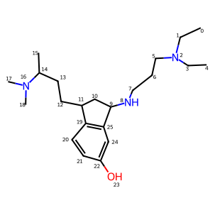 CCN(CC)CCCNC1CC(CCC(C)N(C)C)c2ccc(O)cc21